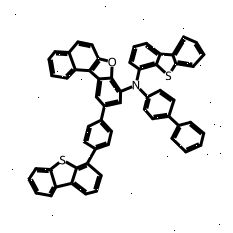 c1ccc(-c2ccc(N(c3cc(-c4ccc(-c5cccc6c5sc5ccccc56)cc4)cc4c3oc3ccc5ccccc5c34)c3cccc4c3sc3ccccc34)cc2)cc1